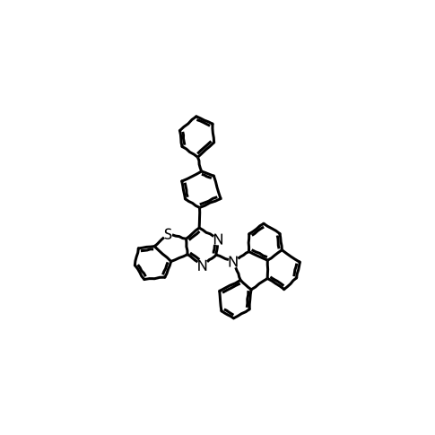 c1ccc(-c2ccc(-c3nc(N4c5ccccc5-c5cccc6cccc4c56)nc4c3sc3ccccc34)cc2)cc1